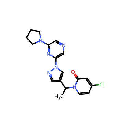 CC(c1cnn(-c2cncc(N3CCCC3)n2)c1)n1ccc(Cl)cc1=O